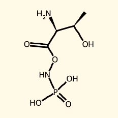 C[C@@H](O)[C@H](N)C(=O)ONP(=O)(O)O